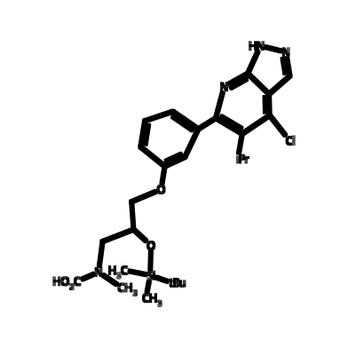 CC(C)c1c(-c2cccc(OCC(CN(C)C(=O)O)O[Si](C)(C)C(C)(C)C)c2)nc2[nH]ncc2c1Cl